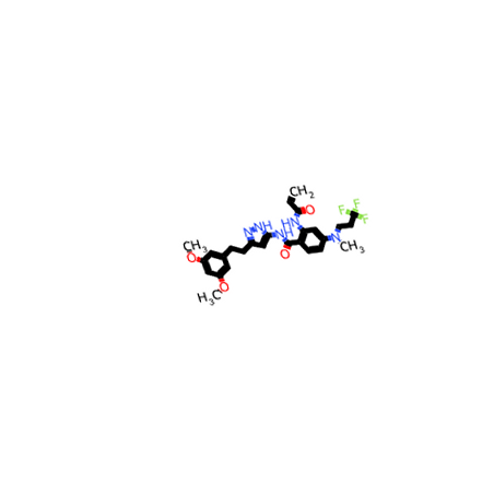 C=CC(=O)Nc1cc(N(C)CCC(F)(F)F)ccc1C(=O)Nc1cc(CCc2cc(OC)cc(OC)c2)n[nH]1